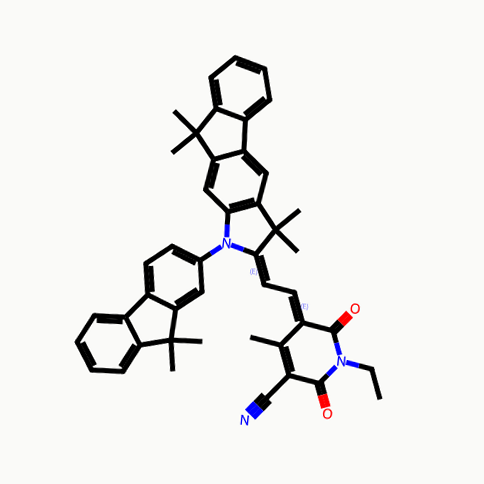 CCN1C(=O)C(C#N)=C(C)/C(=C\C=C2\N(c3ccc4c(c3)C(C)(C)c3ccccc3-4)c3cc4c(cc3C2(C)C)-c2ccccc2C4(C)C)C1=O